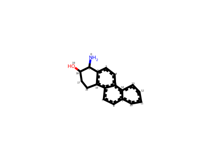 NC1c2ccc3c(ccc4ccccc43)c2CCC1O